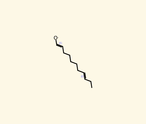 CC/C=C/CCCCC/C=C/[O]